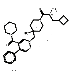 C[C@H](CC1CCC1)C(=O)N1CCC(O)(CN2C=C(C(=O)N3CCCCC3)C(c3ccccc3)=CC2)CC1